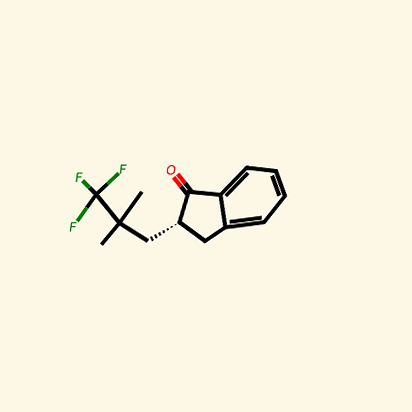 CC(C)(C[C@H]1Cc2ccccc2C1=O)C(F)(F)F